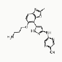 Cc1nc2ccc(OCCCN)c(-c3cc(Nc4cnc(C#N)cn4)n[nH]3)c2o1